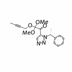 CC#CCOC(OC)(OC)C(=O)c1cnnn1[C@H](C)c1ccccc1